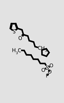 C1CCCC1.CCCCCC(=O)Cc1cccs1.CCCCCCCCS(=O)(=O)OF